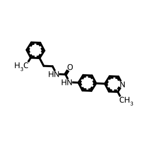 Cc1cc(-c2ccc(NC(=O)NCCc3ccccc3C)cc2)ccn1